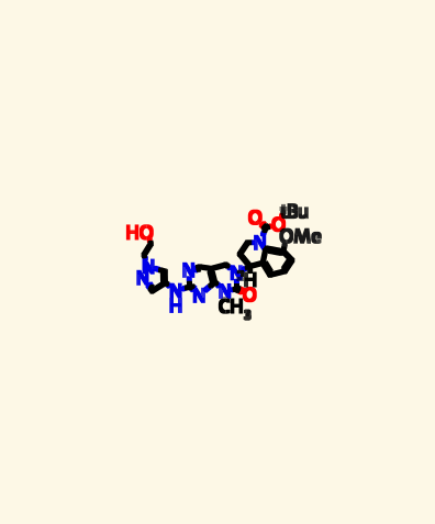 [2H]C1(N2Cc3cnc(Nc4cnn(CCO)c4)nc3N(C)C2=O)CCN(C(=O)OC(C)(C)C)c2c(OC)cccc21